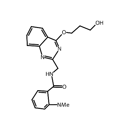 CNc1ccccc1C(=O)NCc1nc(OCCCO)c2ccccc2n1